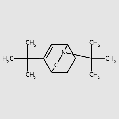 CC(C)(C)C1=CC2CCC1CN2C(C)(C)C